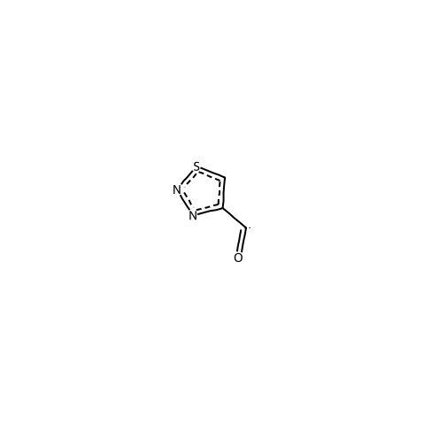 O=[C]c1csnn1